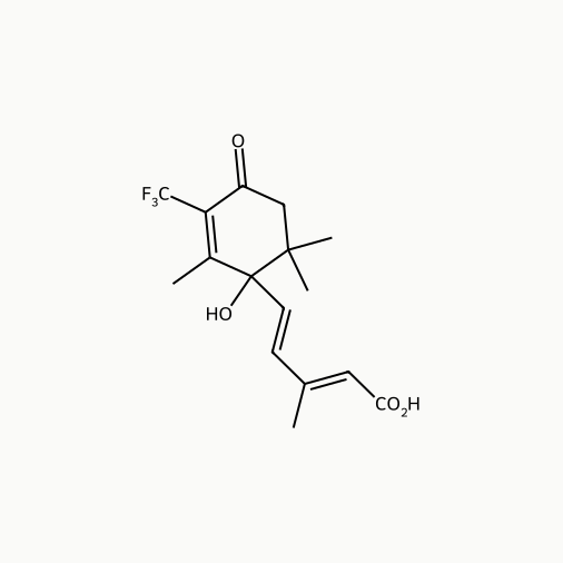 CC(C=CC1(O)C(C)=C(C(F)(F)F)C(=O)CC1(C)C)=CC(=O)O